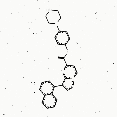 O=C(Nc1ccc(N2CCNCC2)cc1)c1ccn2ncc(-c3cccc4ccccc34)c2n1